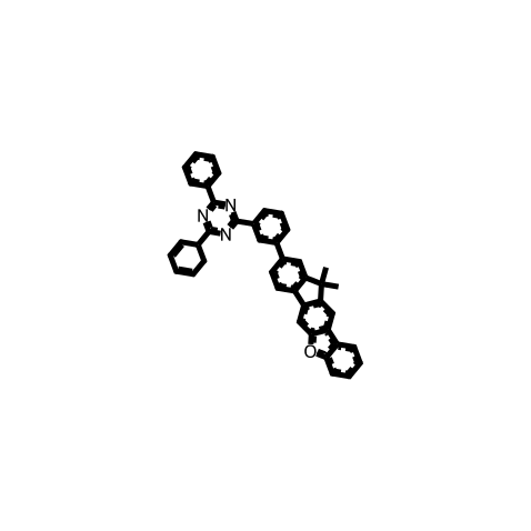 CC1(C)c2cc(-c3cccc(-c4nc(-c5ccccc5)nc(C5C=CC=CC5)n4)c3)ccc2-c2cc3oc4ccccc4c3cc21